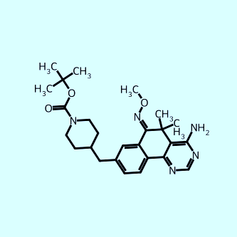 CON=C1c2cc(CC3CCN(C(=O)OC(C)(C)C)CC3)ccc2-c2ncnc(N)c2C1(C)C